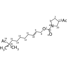 CC(=O)C1CCN(C(=O)OC/C=C/CCCCCC(C)(C)C(C)=O)C1